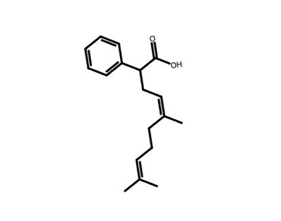 CC(C)=CCCC(C)=CCC(C(=O)O)c1ccccc1